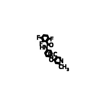 Cc1cc(Oc2ccc(NC(=O)c3c(F)ccc(F)c3F)cc2)c(C(F)(F)F)cn1